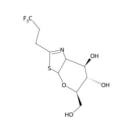 OC[C@H]1OC2SC(CCC(F)(F)F)=NC2[C@@H](O)[C@@H]1O